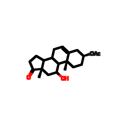 CC(=O)O[C@H]1CC[C@@]2(C)C(=CCC3C2C(O)C[C@]2(C)C(=O)CCC32)C1